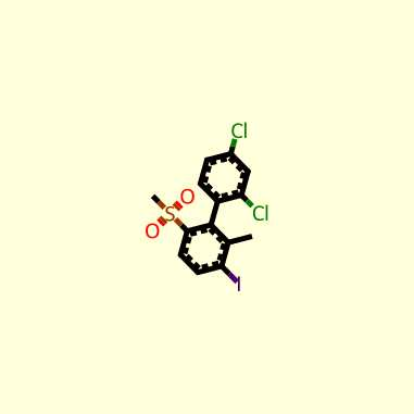 Cc1c(I)ccc(S(C)(=O)=O)c1-c1ccc(Cl)cc1Cl